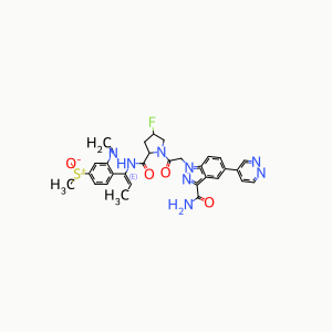 C=Nc1cc([S+](C)[O-])ccc1/C(=C\C)NC(=O)C1CC(F)CN1C(=O)Cn1nc(C(N)=O)c2cc(-c3ccnnc3)ccc21